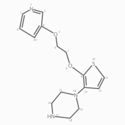 c1cncc(OCCOc2sccc2N2CCNCC2)c1